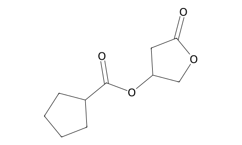 O=C1CC(OC(=O)C2CCCC2)CO1